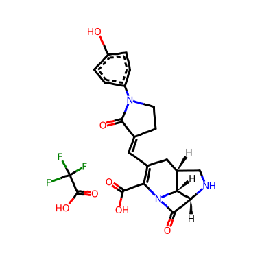 O=C(O)C(F)(F)F.O=C(O)C1=C(/C=C2\CCN(c3ccc(O)cc3)C2=O)C[C@@H]2CN[C@@H]3C(=O)N1[C@H]23